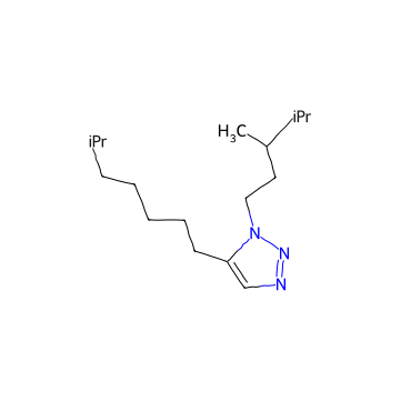 CC(C)CCCCCc1cnnn1CCC(C)C(C)C